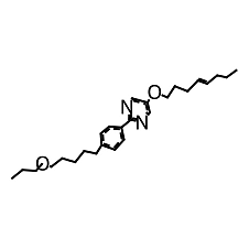 CCC/C=C/CCCOc1cnc(-c2ccc(CCCCCOCCC)cc2)nc1